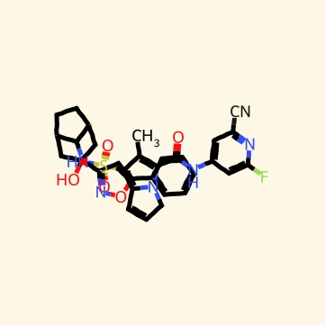 Cc1c(S(=O)(=O)NC2C3CCC2CC(O)(c2cc(-c4ccccc4)on2)C3)c2n(c1C(=O)Nc1cc(F)nc(C#N)c1)CC=C2